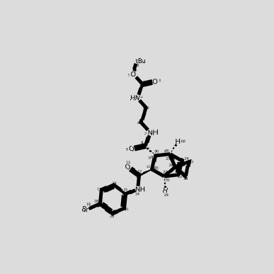 CC(C)(C)OC(=O)NCCNC(=O)[C@H]1[C@H](C(=O)Nc2ccc(Br)cc2)[C@@H]2C=C[C@H]1C21CC1